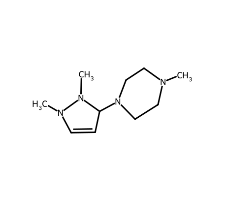 CN1CCN(C2C=CN(C)N2C)CC1